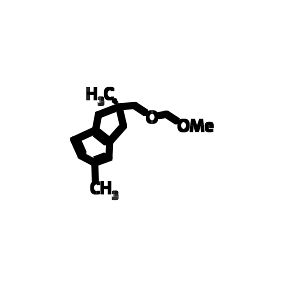 COCOC[C@]1(C)Cc2ccc(C)cc2C1